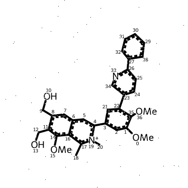 COc1cc(-c2cc3cc(CO)c(CO)c(OC)c3c(C)[n+]2C)cc(-c2ccc(-c3ccccc3)nc2)c1OC